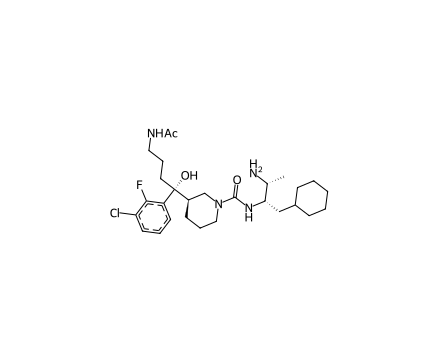 CC(=O)NCCC[C@](O)(c1cccc(Cl)c1F)[C@@H]1CCCN(C(=O)N[C@@H](CC2CCCCC2)[C@@H](C)N)C1